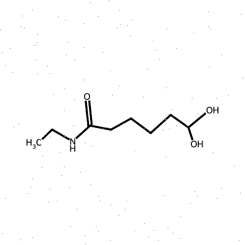 CCNC(=O)CCCCC(O)O